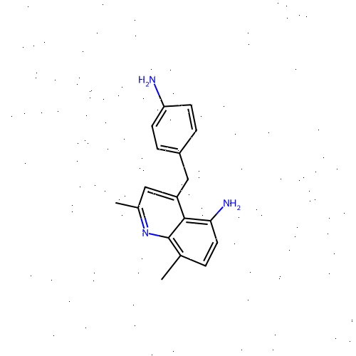 Cc1cc(Cc2ccc(N)cc2)c2c(N)ccc(C)c2n1